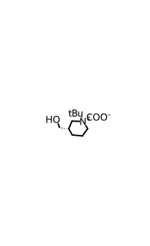 CC(C)(C)[N+]1(C(=O)[O-])CCC[C@H](CO)C1